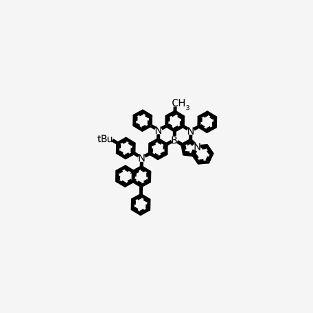 Cc1cc2c3c(c1)N(c1ccccc1)c1c(cc4ccccn14)B3c1ccc(N(c3ccc(C(C)(C)C)cc3)c3ccc(-c4ccccc4)c4ccccc34)cc1N2c1ccccc1